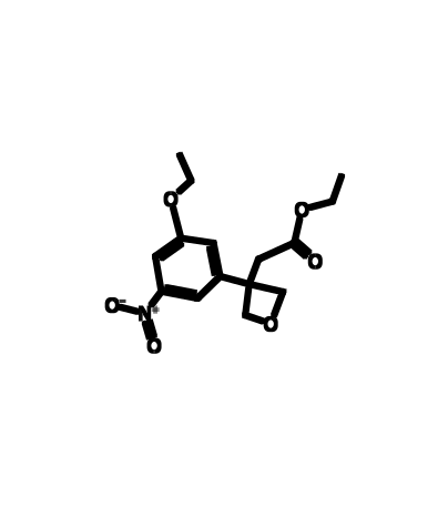 CCOC(=O)CC1(c2cc(OCC)cc([N+](=O)[O-])c2)COC1